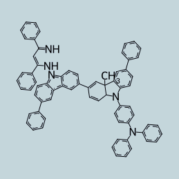 CC12C=C(c3ccc4c(c3)c3cc(-c5ccccc5)ccc3n4N/C(=C\C(=N)c3ccccc3)c3ccccc3)C=CC1N(c1ccc(N(c3ccccc3)c3ccccc3)cc1)c1ccc(-c3ccccc3)cc12